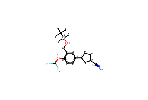 CC(C)(C)[Si](C)(C)OCc1cc(C2CCC(C#N)C2)ccc1OC(F)F